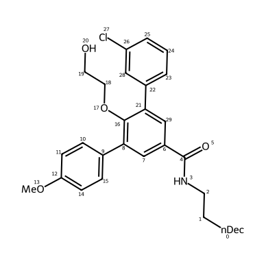 CCCCCCCCCCCCNC(=O)c1cc(-c2ccc(OC)cc2)c(OCCO)c(-c2cccc(Cl)c2)c1